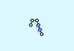 c1ccc(-c2ccc(-c3ccc(-c4cccc5c4sc4c(-c6ccccc6)cccc45)cn3)cn2)cc1